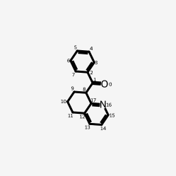 O=C(c1ccccc1)C1CCCc2cccnc21